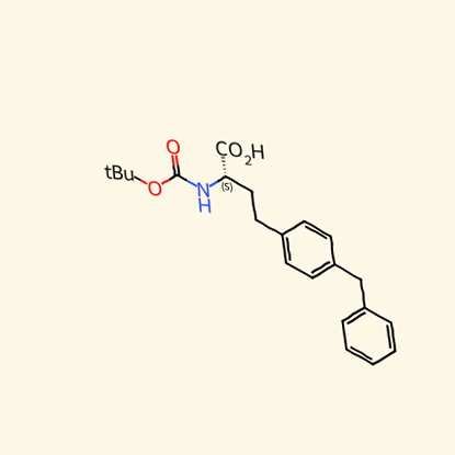 CC(C)(C)OC(=O)N[C@@H](CCc1ccc(Cc2ccccc2)cc1)C(=O)O